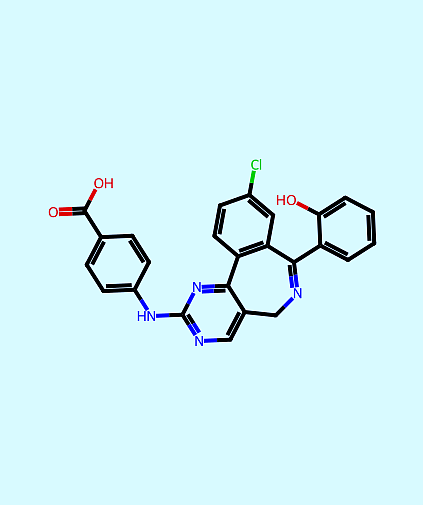 O=C(O)c1ccc(Nc2ncc3c(n2)-c2ccc(Cl)cc2C(c2ccccc2O)=NC3)cc1